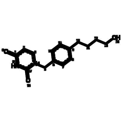 O=c1ccn(Cc2ccc(CCCCO)cc2)c(=O)[nH]1